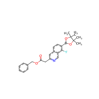 CC1(C)OB(c2ccc3cc(CC(=O)OCc4ccccc4)ncc3c2F)OC1(C)C